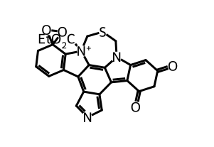 CCOC(=O)[N+]12CSCn3c4c(c5c6c(c(c1c53)C1=C2C2(CC=C1)OO2)C=NC=6)C(=O)CC(=O)C=4